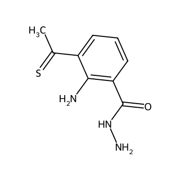 CC(=S)c1cccc(C(=O)NN)c1N